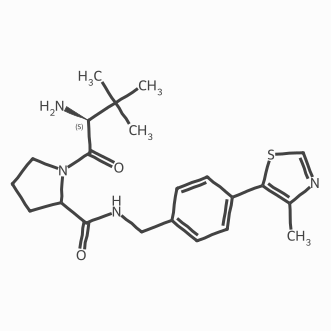 Cc1ncsc1-c1ccc(CNC(=O)C2CCCN2C(=O)[C@@H](N)C(C)(C)C)cc1